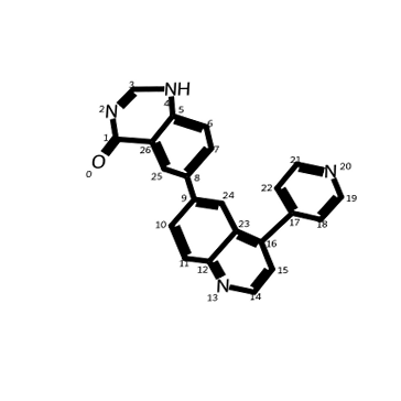 O=c1nc[nH]c2ccc(-c3ccc4nccc(-c5ccncc5)c4c3)cc12